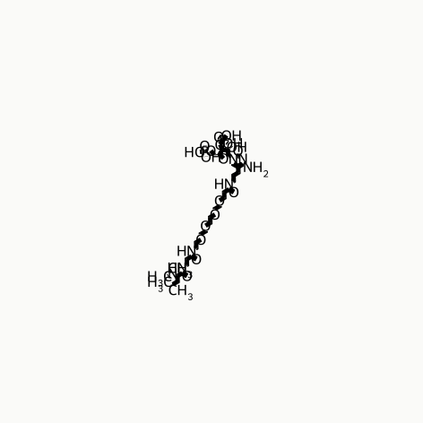 CC(C)CC(C(=O)NCCC(=O)NCCOCCOCCOCCOCCC(=O)NCCCc1cn([C@@H]2O[C@H](COP(=O)(O)O)C(OP(=O)(O)O)[C@@H]2O)c(=O)nc1N)N(C)C